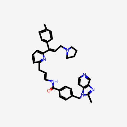 Cc1ccc(C(=CCN2CCCC2)c2cccc(CC=CNC(=O)c3ccc(Cn4c(C)nc5cnccc54)cc3)n2)cc1